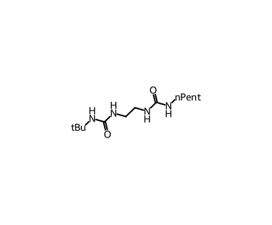 CCCCCNC(=O)NCCNC(=O)NC(C)(C)C